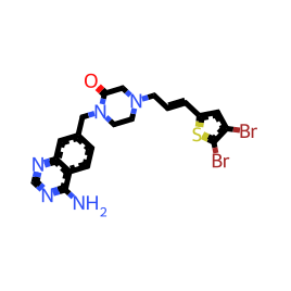 Nc1ncnc2cc(CN3CCN(C/C=C/c4cc(Br)c(Br)s4)CC3=O)ccc12